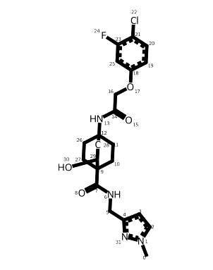 Cn1ccc(CNC(=O)C23CCC(NC(=O)COc4ccc(Cl)c(F)c4)(CC2)CC3O)n1